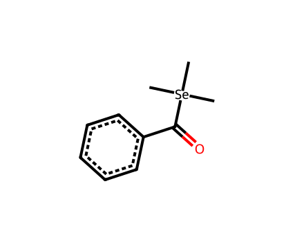 C[Se](C)(C)C(=O)c1ccccc1